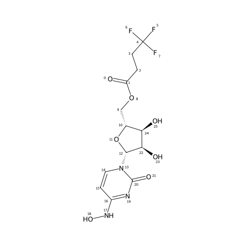 O=C(CCC(F)(F)F)OC[C@H]1O[C@@H](n2ccc(NO)nc2=O)[C@H](O)[C@@H]1O